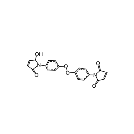 O=C1C=CC(=O)N1c1ccc(OOc2ccc(N3C(=O)C=CC3O)cc2)cc1